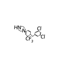 FC(F)(F)C1C=C(N2CCNCC2)C=CC1Cc1cc(Cl)cc(Cl)c1